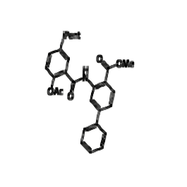 CCCC(C)c1ccc(OC(C)=O)c(C(=O)Nc2cc(-c3ccccc3)ccc2C(=O)OC)c1